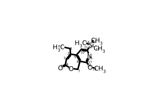 CCC1=CC(=O)OCc2c1cc([Si](C)(C)C)nc2OC